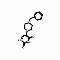 O=c1[nH]cc(N2CCN(Cc3ccccc3)CC2)c(=O)[nH]1